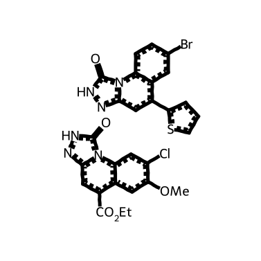 CCOC(=O)c1cc2n[nH]c(=O)n2c2cc(Cl)c(OC)cc12.O=c1[nH]nc2cc(-c3cccs3)c3cc(Br)ccc3n12